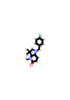 Cn1c2c(ccc1=O)N(Cc1ccc(F)cc1)CC2(C)C